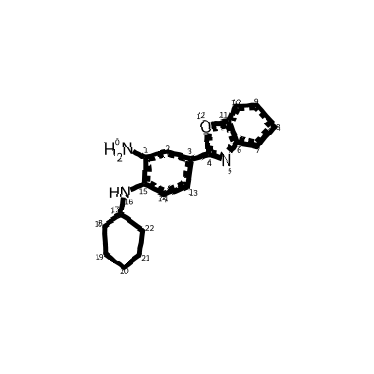 Nc1cc(-c2nc3ccccc3o2)ccc1NC1CCCCC1